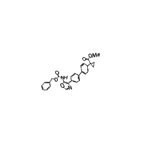 COC(=O)C1(c2ccc(-c3ccc(-c4ncoc4NC(=O)OCc4ccccc4)cc3)cc2)CC1